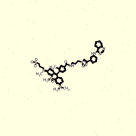 Cc1cc(C(=O)NCCCn2cc(-c3cccc(Nc4ncnc5ccccc45)c3)nn2)ccc1C1=C2C=C/C(=[N+](/C)CCCS(=O)(=O)[O-])C=C2[Si](C)(C)c2cc(N(C)C)ccc21